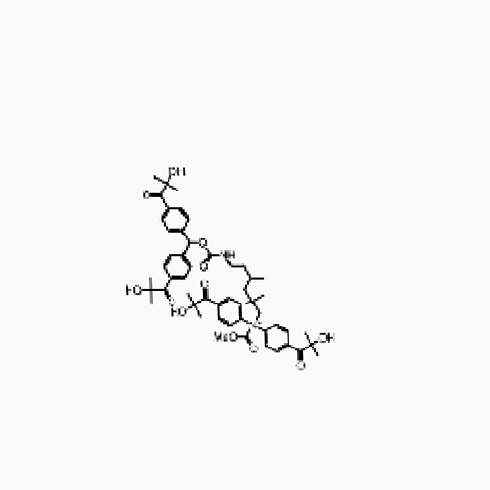 COC(=O)[N+](CC(C)(C)CC(C)CCNC(=O)OC(c1ccc(C(=O)C(C)(C)O)cc1)c1ccc(C(=O)C(C)(C)O)cc1)(c1ccc(C(=O)C(C)(C)O)cc1)c1ccc(C(=O)C(C)(C)O)cc1